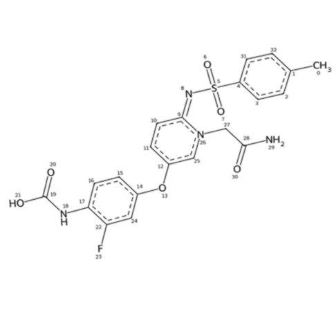 Cc1ccc(S(=O)(=O)N=c2ccc(Oc3ccc(NC(=O)O)c(F)c3)cn2CC(N)=O)cc1